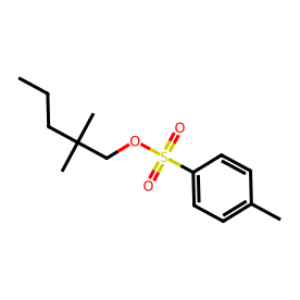 CCCC(C)(C)COS(=O)(=O)c1ccc(C)cc1